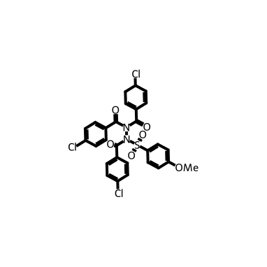 COc1ccc(S(=O)(=O)N(C(=O)c2ccc(Cl)cc2)N(C(=O)C2=CCC(Cl)C=C2)C(=O)c2ccc(Cl)cc2)cc1